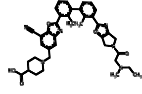 CCN(C)CC(=O)N1Cc2nc(-c3cccc(-c4cccc(-c5nc6cc(CN7CCC(C(=O)O)CC7)cc(C#N)c6o5)c4C)c3C)oc2C1